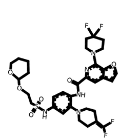 O=C(Nc1ccc(NS(=O)(=O)CCOC2CCCCO2)cc1N1CCC(=C(F)F)CC1)c1cc2ccoc2c(N2CCC(F)(F)CC2)n1